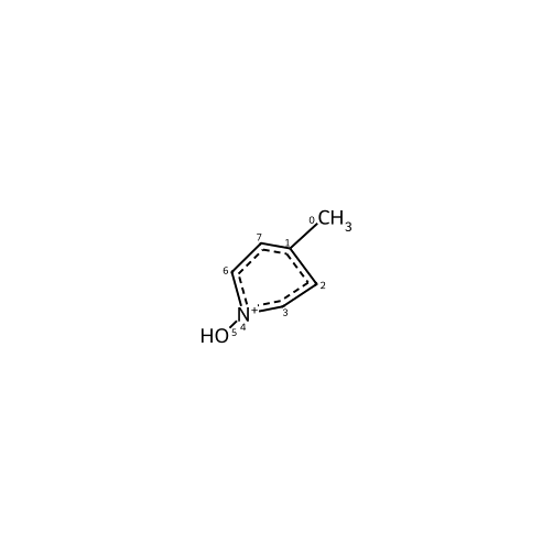 Cc1cc[n+](O)cc1